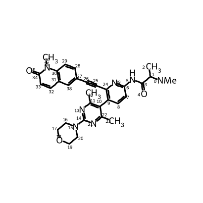 CNC(C)C(=O)Nc1ccc(-c2c(C)nc(N3CCOCC3)nc2C)c(C#Cc2ccc3c(ccc(=O)n3C)c2)n1